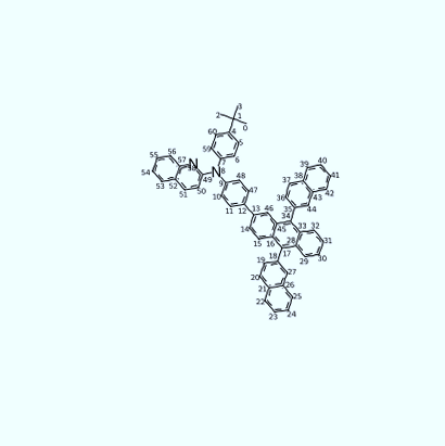 CC(C)(C)c1ccc(N(c2ccc(-c3ccc4c(-c5ccc6ccccc6c5)c5ccccc5c(-c5ccc6ccccc6c5)c4c3)cc2)c2ccc3ccccc3n2)cc1